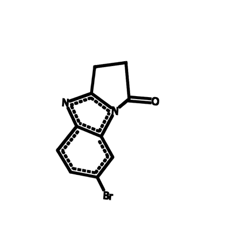 O=C1CCc2nc3ccc(Br)cc3n21